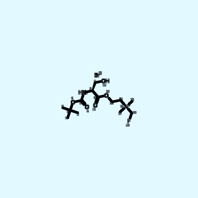 CC(C)(C)OC(=O)N[C@@H](CO)C(=O)OCC[N+](C)(C)CF.[Br-]